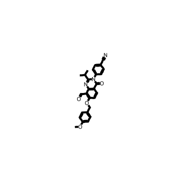 COc1ccc(COc2ccc3c(=O)n(-c4ccc(C#N)cc4)c(C(C)C)nc3c2C=O)cc1